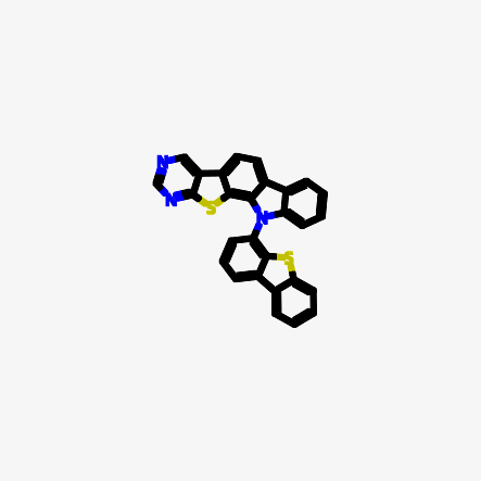 c1ccc2c(c1)sc1c(-n3c4ccccc4c4ccc5c6cncnc6sc5c43)cccc12